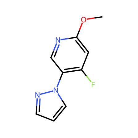 COc1cc(F)c(-n2cccn2)cn1